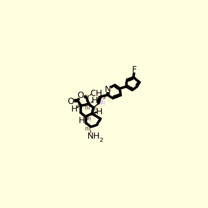 C[C@H]1OC(=O)[C@@H]2C[C@@H]3C[C@@H](N)CC[C@H]3[C@H](/C=C/c3ccc(-c4cccc(F)c4)cn3)[C@H]12